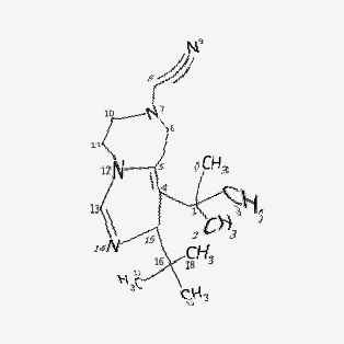 CC(C)(C)C1=C2CN(C#N)CCN2C=NC1C(C)(C)C